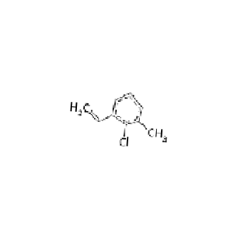 C=Cc1cccc(C)c1Cl